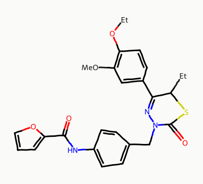 CCOc1ccc(C2=NN(Cc3ccc(NC(=O)c4ccco4)cc3)C(=O)SC2CC)cc1OC